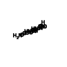 NCOCCOCCOCCNC(=O)CNc1cccc2c(Nc3ccc4c(c3)C(=O)N(C3CCC(=O)NC3=O)C4)ncnc12